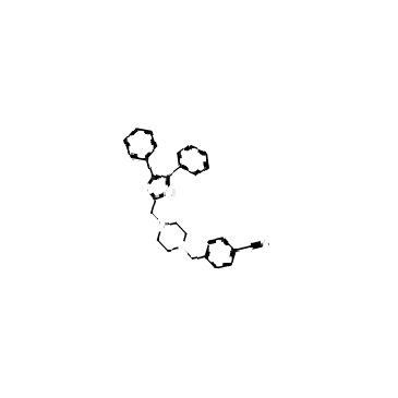 N#Cc1ccc(CN2CCN(Cc3nc(-c4ccccc4)c(-c4ccccc4)[nH]3)CC2)cc1